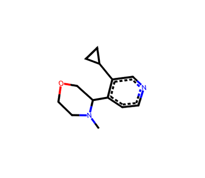 CN1CCOCC1c1ccncc1C1CC1